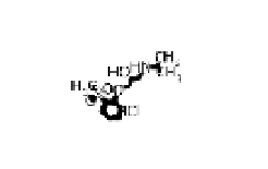 CC(C)NCC(O)COc1ccccc1S(C)(=O)=O.Cl